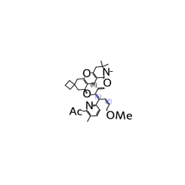 C=C(/C(C)=C(\C=C/COC)c1ccc(C)c(C(C)=O)n1)[C@@H]1C2=C(CC3(CCC3)CC2=O)OC2=C1C(=O)N(C)C(C)(C)C2